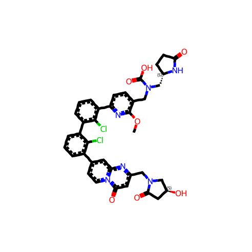 COc1nc(-c2cccc(-c3cccc(-c4ccn5c(=O)cc(CN6C[C@@H](O)CC6=O)nc5c4)c3Cl)c2Cl)ccc1CN(C[C@@H]1CCC(=O)N1)C(=O)O